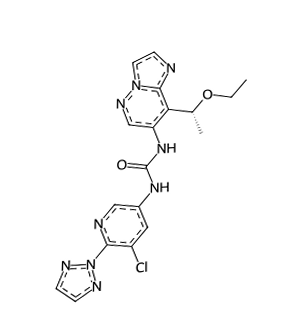 CCO[C@H](C)c1c(NC(=O)Nc2cnc(-n3nccn3)c(Cl)c2)cnn2ccnc12